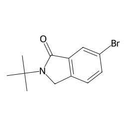 CC(C)(C)N1Cc2ccc(Br)cc2C1=O